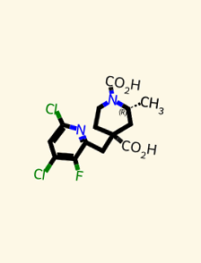 C[C@@H]1CC(Cc2nc(Cl)cc(Cl)c2F)(C(=O)O)CCN1C(=O)O